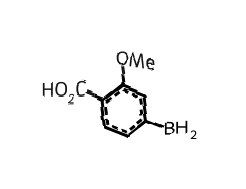 Bc1ccc(C(=O)O)c(OC)c1